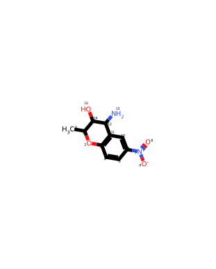 CC1Oc2ccc([N+](=O)[O-])cc2C(N)C1O